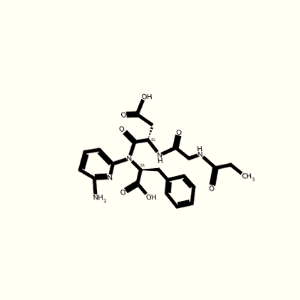 CCC(=O)NCC(=O)N[C@@H](CC(=O)O)C(=O)N(c1cccc(N)n1)[C@@H](Cc1ccccc1)C(=O)O